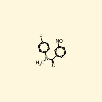 CN(C(=O)c1cccc(N=O)c1)c1ccc(F)cc1